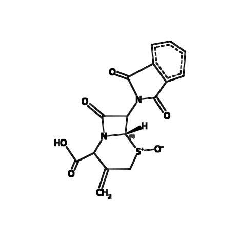 C=C1C[S+]([O-])[C@H]2C(N3C(=O)c4ccccc4C3=O)C(=O)N2C1C(=O)O